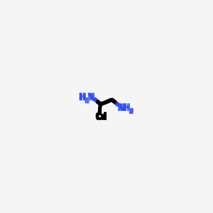 NC[CH](N)[Cd]